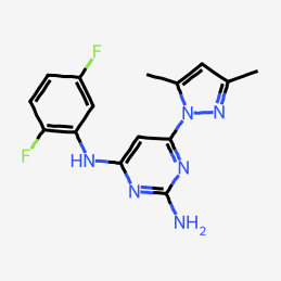 Cc1cc(C)n(-c2cc(Nc3cc(F)ccc3F)nc(N)n2)n1